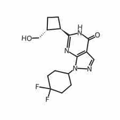 O=c1[nH]c([C@@H]2CC[C@H]2CO)nc2c1cnn2C1CCC(F)(F)CC1